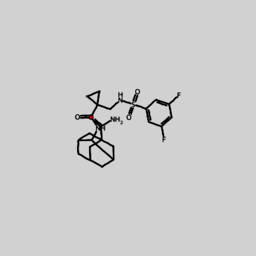 NC(=O)C12CC3CC(C1)C(NC(=O)C1(CNS(=O)(=O)c4cc(F)cc(F)c4)CC1)C(C3)C2